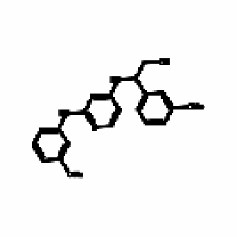 COc1cccc(Nc2nccc(NC(CO)c3cccc(OC)c3)n2)c1